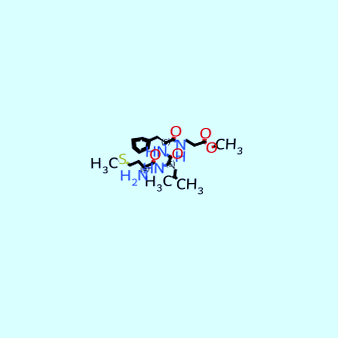 COC(=O)CCNC(=O)[C@H](Cc1ccccc1)NC(=O)[C@H](CC(C)C)NC(=O)[C@@H](N)CCSC